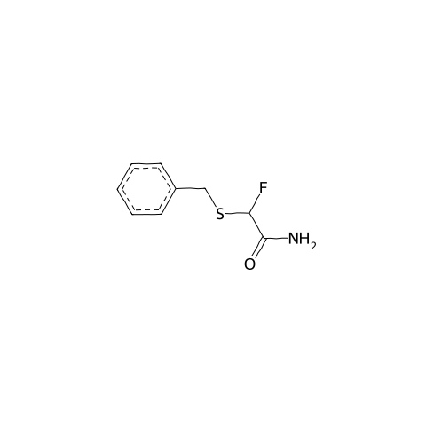 NC(=O)C(F)SCc1ccccc1